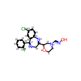 ON=CN1CCOC(C2=Nc3ccc(Cl)cc3C(c3ccccc3F)=NC2)C1